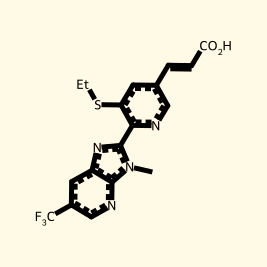 CCSc1cc(C=CC(=O)O)cnc1-c1nc2cc(C(F)(F)F)cnc2n1C